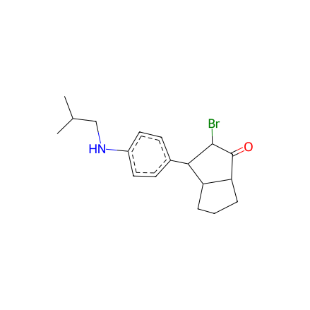 CC(C)CNc1ccc(C2C(Br)C(=O)C3CCCC32)cc1